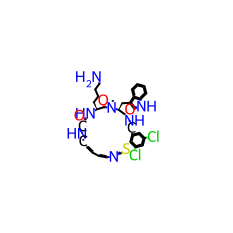 CN1C(=O)[C@H](CCCCN)NC(=O)CNCC=CC=CN=CSc2c(Cl)cc(Cl)cc2CNC(=O)[C@@H]1Cc1c[nH]c2ccccc12